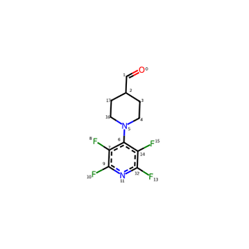 O=[C]C1CCN(c2c(F)c(F)nc(F)c2F)CC1